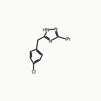 CC(C)c1n[nH]c(Cc2ccc(Cl)cc2)n1